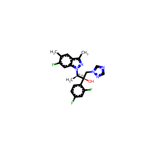 Cc1cc2c(C)nn([C@H](C)[C@](O)(Cn3cncn3)c3ccc(F)cc3F)c2cc1F